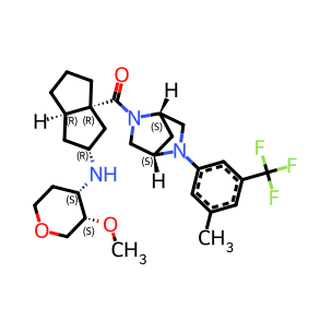 CO[C@@H]1COCC[C@@H]1N[C@@H]1C[C@H]2CCC[C@@]2(C(=O)N2C[C@@H]3C[C@H]2CN3c2cc(C)cc(C(F)(F)F)c2)C1